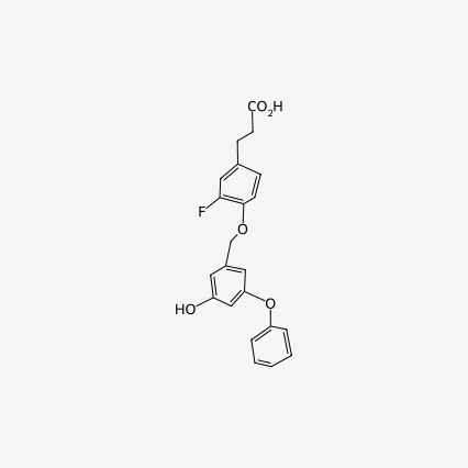 O=C(O)CCc1ccc(OCc2cc(O)cc(Oc3ccccc3)c2)c(F)c1